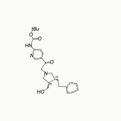 CC(C)(C)OC(=O)Nc1ccc(C(=O)CN2C[C@@H](CCc3ccccc3)[C@@H](CO)C2)cn1